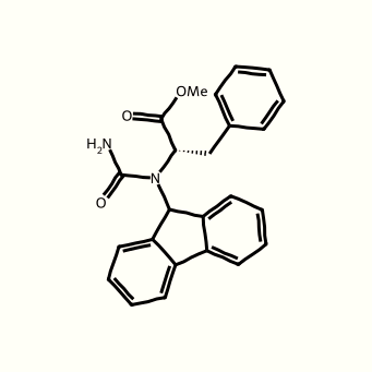 COC(=O)[C@H](Cc1ccccc1)N(C(N)=O)C1c2ccccc2-c2ccccc21